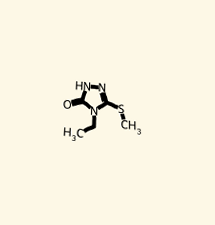 CCn1c(SC)n[nH]c1=O